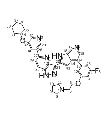 Fc1cc(OCCN2CCCC2)cc(-c2cncc3[nH]c(-c4n[nH]c5ccc(-c6cncc(OC7CCCCC7)c6)nc45)cc23)c1